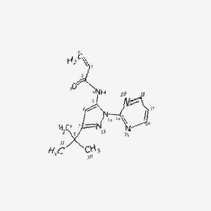 C=CC(=O)Nc1cc(C(C)(C)C)nn1-c1ncccn1